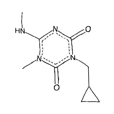 CNc1nc(=O)n(CC2CC2)c(=O)n1C